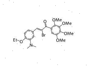 CCOc1ccc(C=C(Br)C(=O)c2cc(OC)c(OC)c(OC)c2OC)cc1N(C)C